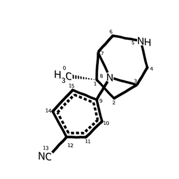 C[C@H]1CC2CNCC1N2c1ccc(C#N)cc1